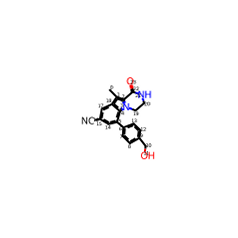 Cc1c2n(c3c(-c4ccc(CO)cc4)cc(C#N)cc13)CCNC2=O